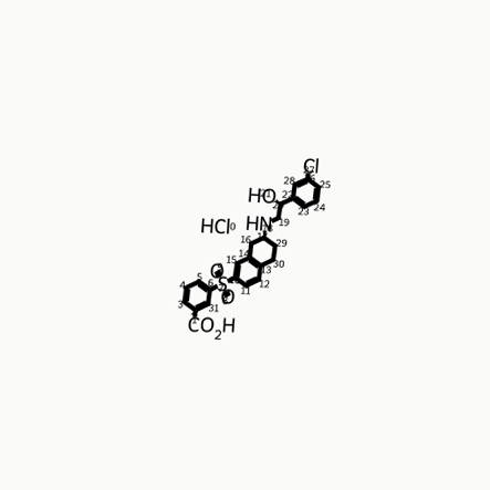 Cl.O=C(O)c1cccc(S(=O)(=O)c2ccc3c(c2)C[C@@H](NC[C@@H](O)c2cccc(Cl)c2)CC3)c1